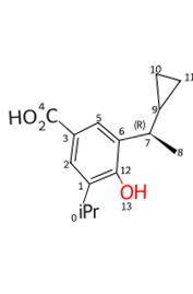 CC(C)c1cc(C(=O)O)cc([C@H](C)C2CC2)c1O